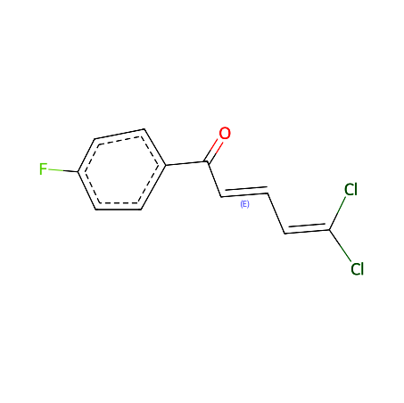 O=C(/C=C/C=C(Cl)Cl)c1ccc(F)cc1